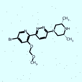 COCOc1cc(Br)cnc1-c1ccc(N2C[C@@H](C)N[C@@H](C)C2)nn1